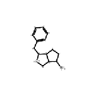 NC1CCC2C(Cc3ccccc3)NCC12